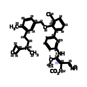 CCO/C(Nc1cccc(-c2cccc(Cl)c2OCc2ccc(C)c(CCN(C)C3COC3)c2)n1)=C(/C=N)C(=O)O